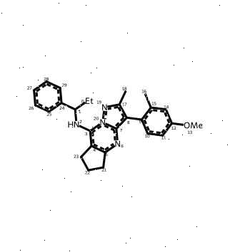 CCC(Nc1c2c(nc3c(-c4ccc(OC)cc4C)c(C)nn13)CCC2)c1ccccc1